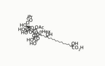 CCCCCC[C@@H](CCC[C@@H](O)CCCCCCCCCCCCC[C@H](O)C(=O)O)O[C@H]1OC[C@H](O)[C@@H](O)[C@@H]1O[C@H]1OC[C@H](OC(C)=O)[C@@H](O)[C@@H]1O[C@H]1O[C@@H](COC(=O)CC(C)C)[C@H](O)[C@@H](O)[C@@H]1O